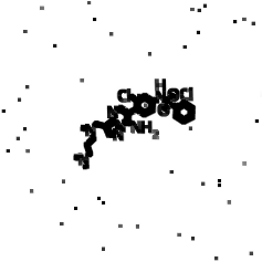 CN(C)CCCN(C)Cc1cnn2c(N)c(-c3ccc(NS(=O)(=O)c4ccccc4Cl)cc3Cl)cnc12